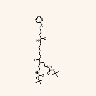 CC(C)(C)OC(=O)NCCN(CCNC(=O)OC(C)(C)C)C(=O)CCCCCNC(=O)CCSSc1ccccn1